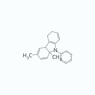 CC1=CC2C3=C(C=CCC3)N(c3ccccc3)C2(C)C=C1